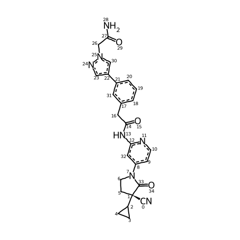 N#C[C@@]1(C2CC2)CCN(c2ccnc(NC(=O)Cc3cccc(-c4cnn(CC(N)=O)c4)c3)c2)C1=O